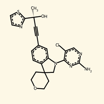 C[C@](O)(C#Cc1ccc2c(c1)N(c1nc(N)ncc1Cl)CC21CCOCC1)c1nccs1